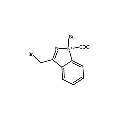 CC(C)(C)[N+]1(C(=O)[O-])N=C(CBr)c2ccccc21